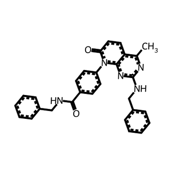 Cc1nc(NCc2ccccc2)nc2c1ccc(=O)n2-c1ccc(C(=O)NCc2ccccc2)cc1